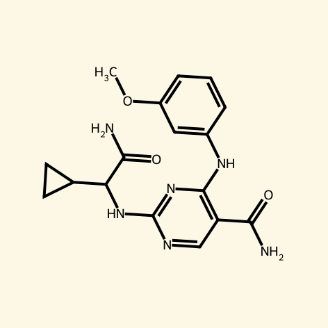 COc1cccc(Nc2nc(NC(C(N)=O)C3CC3)ncc2C(N)=O)c1